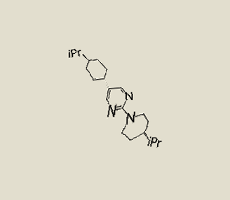 CC(C)C1CCN(c2ncc([C@H]3CC[C@H](C(C)C)CC3)cn2)CC1